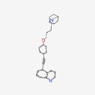 C(#Cc1cccc2ncccc12)c1ccc(OCCCN2CC3CCC2CC3)cc1